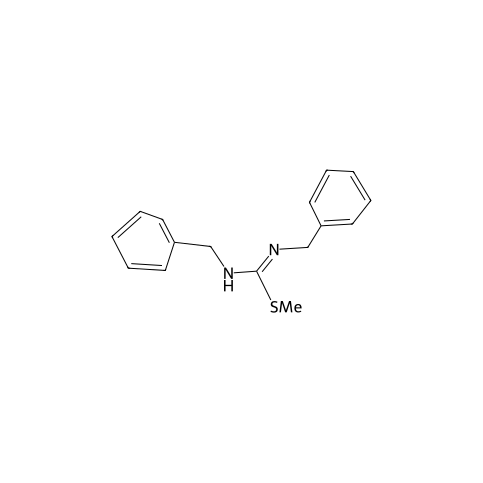 CS/C(=N\Cc1ccccc1)NCc1ccccc1